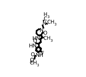 CCN(CC)CCN1CCCc2[nH]c(C=C3C(=O)Nc4cc(NC(=O)COC)c(F)cc43)c(C)c2C1=O